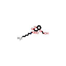 CCCCCC/C=C/Oc1c(O)c2c(OCCO)cccc2oc1=O